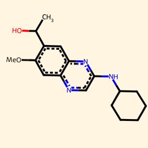 COc1cc2ncc(NC3CCCCC3)nc2cc1C(C)O